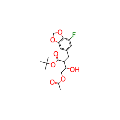 CC(=O)OCC(O)C(Cc1cc(F)c2c(c1)OCO2)C(=O)OC(C)(C)C